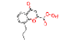 CCCc1cccc2c(=O)cc(C(=O)OO)oc12